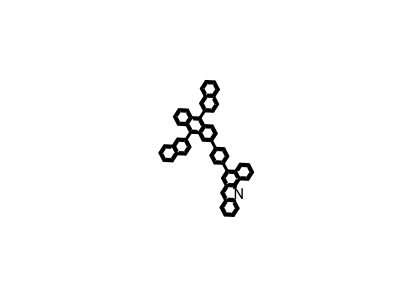 c1ccc2cc(-c3c4ccccc4c(-c4ccc5ccccc5c4)c4cc(-c5ccc(-c6cc7cc8ccccc8nc7c7ccccc67)cc5)ccc34)ccc2c1